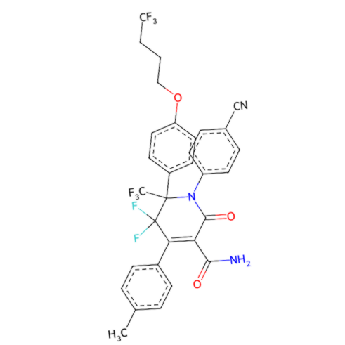 Cc1ccc(C2=C(C(N)=O)C(=O)N(c3ccc(C#N)cc3)C(c3ccc(OCCCC(F)(F)F)cc3)(C(F)(F)F)C2(F)F)cc1